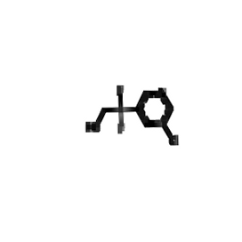 OCC(F)(F)c1cncc(Cl)c1